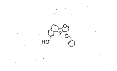 OCc1ccc2c(c1)=c1sc3c(c1C=CC=2)OC=CC=3OCc1ccccc1